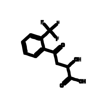 O=C(CC(O)C(=O)O)c1ccccc1C(F)(F)F